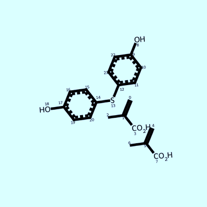 C=C(C)C(=O)O.C=C(C)C(=O)O.Oc1ccc(Sc2ccc(O)cc2)cc1